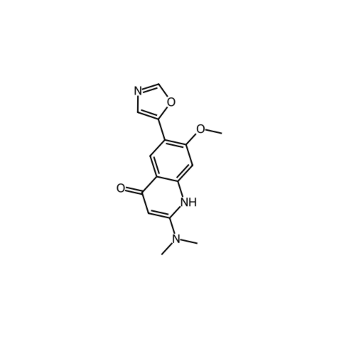 COc1cc2[nH]c(N(C)C)cc(=O)c2cc1-c1cnco1